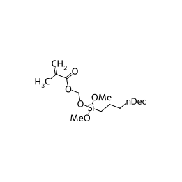 C=C(C)C(=O)OCO[Si](CCCCCCCCCCCCC)(OC)OC